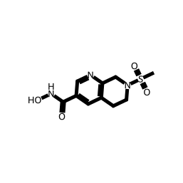 CS(=O)(=O)N1CCc2cc(C(=O)NO)cnc2C1